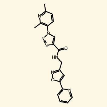 Cc1ccc(-n2cc(C(=O)NCc3cc(-c4ccccn4)on3)nn2)c(C)n1